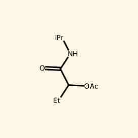 CCC(OC(C)=O)C(=O)NC(C)C